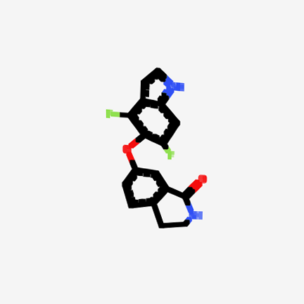 O=C1NCCc2ccc(Oc3c(F)cc4[nH]ccc4c3F)cc21